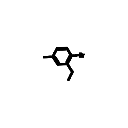 CCc1cc(C)ccc1Br